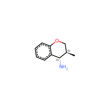 C[C@@H]1COc2ccccc2[C@H]1N